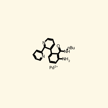 CCCCNC(=O)c1c(N)cccc1-c1cccnc1-c1ccccn1.[Pd+2]